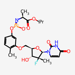 Cc1ccc(O/[P+]([O-])=N/[C@@H](C)C(=O)OC(C)C)cc1OC[C@H]1O[C@@H](n2ccc(=O)[nH]c2=O)[C@](C)(F)[C@@H]1O